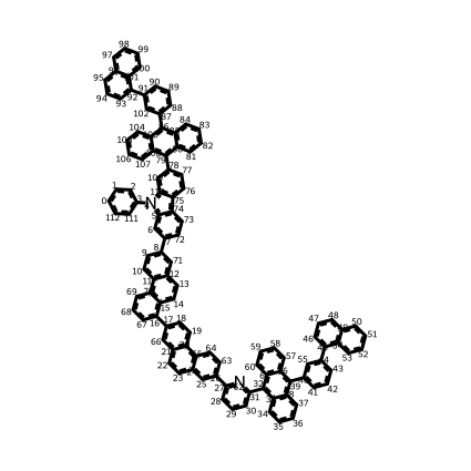 c1ccc(-n2c3cc(-c4ccc5c(ccc6c(-c7ccc8c(ccc9cc(-c%10cccc(-c%11c%12ccccc%12c(-c%12cccc(-c%13cccc%14ccccc%13%14)c%12)c%12ccccc%11%12)n%10)ccc98)c7)cccc65)c4)ccc3c3ccc(-c4c5ccccc5c(-c5cccc(-c6cccc7ccccc67)c5)c5ccccc45)cc32)cc1